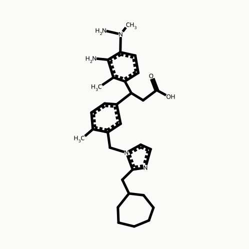 Cc1ccc(C(CC(=O)O)c2ccc(N(C)N)c(N)c2C)cc1Cn1ccnc1CC1CCCCCC1